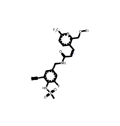 C#Cc1cc(CNC(=O)/C=C\c2ccc(C(F)(F)F)nc2COCC)cc(F)c1NS(C)(=O)=O